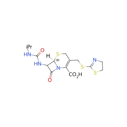 CC(C)NC(=O)NC1C(=O)N2C(C(=O)O)=C(CSC3=NCCS3)CS[C@H]12